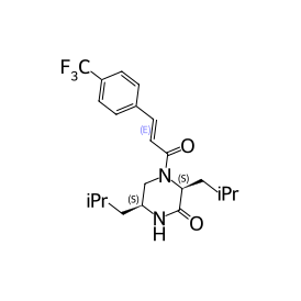 CC(C)C[C@H]1CN(C(=O)/C=C/c2ccc(C(F)(F)F)cc2)[C@@H](CC(C)C)C(=O)N1